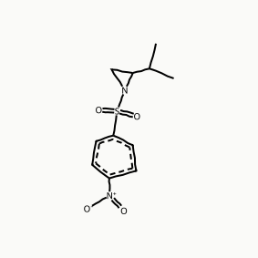 CC(C)C1CN1S(=O)(=O)c1ccc([N+](=O)[O-])cc1